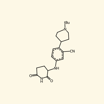 CC(C)(C)N1CCC(c2ccc(NC3CCC(=O)NC3=O)cc2C#N)CC1